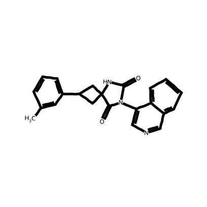 Cc1cccc(C2CC3(C2)NC(=O)N(c2cncc4ccccc24)C3=O)c1